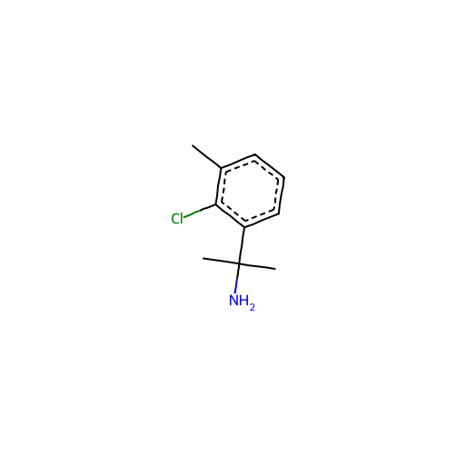 Cc1cccc(C(C)(C)N)c1Cl